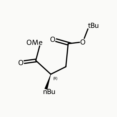 CCCC[C@H](CC(=O)OC(C)(C)C)C(=O)OC